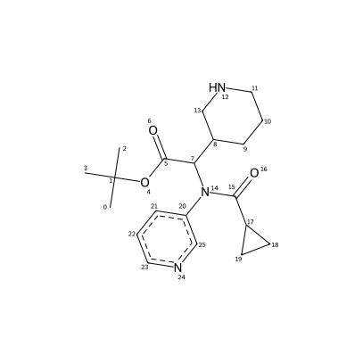 CC(C)(C)OC(=O)C(C1CCCNC1)N(C(=O)C1CC1)c1cccnc1